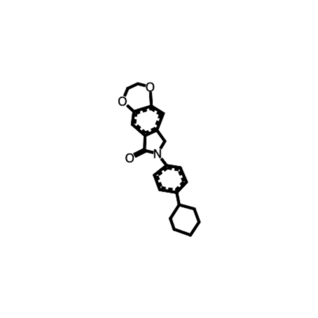 O=C1c2cc3c(cc2CN1c1ccc(C2CCCCC2)cc1)OCCO3